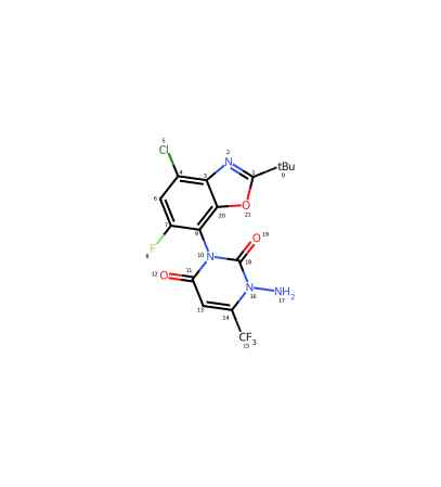 CC(C)(C)c1nc2c(Cl)cc(F)c(-n3c(=O)cc(C(F)(F)F)n(N)c3=O)c2o1